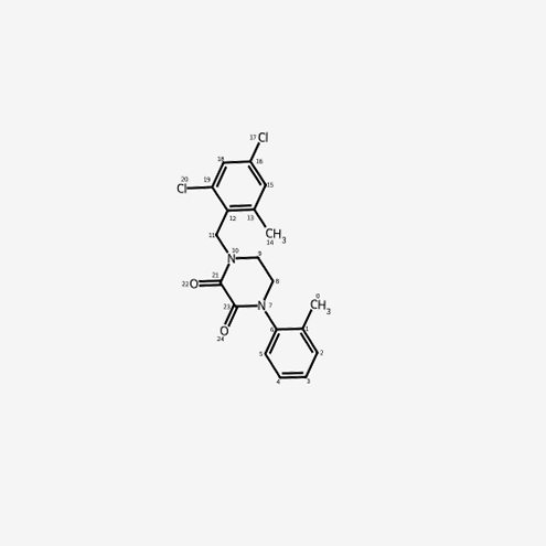 Cc1ccccc1N1CCN(Cc2c(C)cc(Cl)cc2Cl)C(=O)C1=O